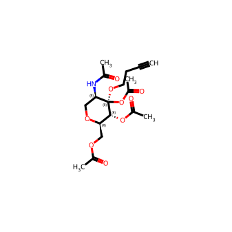 C#CCCO[C@]1(OC(C)=O)[C@H](OC(C)=O)[C@@H](COC(C)=O)OC[C@H]1NC(C)=O